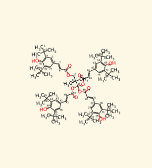 CC(C)(C)c1cc(C=CC(=O)OCC(C)(C)C(OC(=O)C=Cc2cc(C(C)(C)C)c(O)c(C(C)(C)C)c2)(OC(=O)C=Cc2cc(C(C)(C)C)c(O)c(C(C)(C)C)c2)OC(=O)C=Cc2cc(C(C)(C)C)c(O)c(C(C)(C)C)c2)cc(C(C)(C)C)c1O